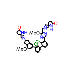 COc1cc(-c2cccc(-c3cccc(-c4cnc(CN5CC6(CCC(=O)N6)C5)c(OC)n4)c3Cl)c2Cl)cc2c1CC(N1CC3(CCC(=O)N3)C1)C2